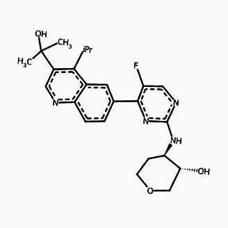 CC(C)c1c(C(C)(C)O)cnc2ccc(-c3nc(N[C@@H]4CCOC[C@H]4O)ncc3F)cc12